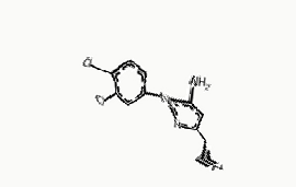 N#Cc1cc(N)n(-c2ccc(Cl)c(Cl)c2)n1